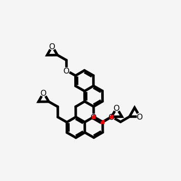 c1cc2ccc(CCC3CO3)c(Cc3c(OCC4CO4)ccc4ccc(OCC5CO5)cc34)c2cc1OCC1CO1